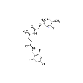 C=C(CCC(=O)NCc1c(F)cc(Cl)cc1F)NC(=O)COC(=C)/C=C(/F)C(=C)Cl